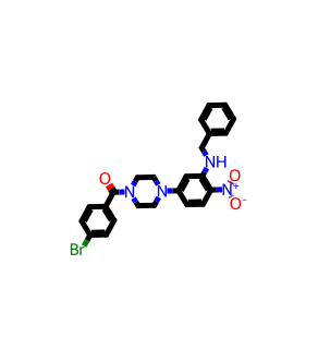 O=C(c1ccc(Br)cc1)N1CCN(c2ccc([N+](=O)[O-])c(NCc3ccccc3)c2)CC1